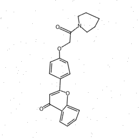 O=C(COc1ccc(-c2cc(=O)c3ccccc3o2)cc1)N1CCCCC1